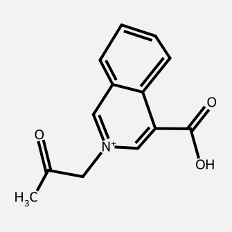 CC(=O)C[n+]1cc(C(=O)O)c2ccccc2c1